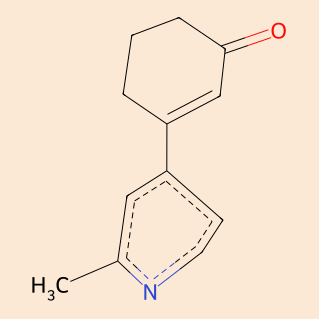 Cc1cc(C2=CC(=O)CCC2)ccn1